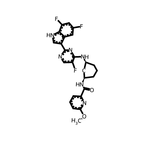 COc1cccc(C(=O)N[C@@H]2CCC[C@H](Nc3nc(-c4c[nH]c5c(F)cc(F)cc45)ncc3F)C2)n1